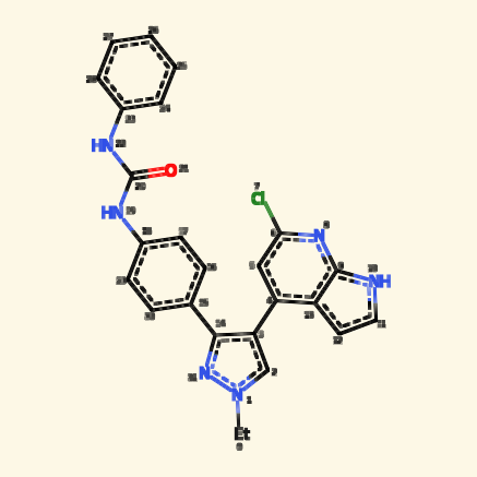 CCn1cc(-c2cc(Cl)nc3[nH]ccc23)c(-c2ccc(NC(=O)Nc3ccccc3)cc2)n1